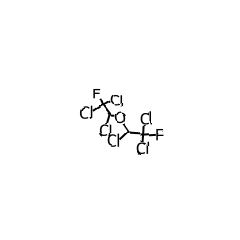 FC(Cl)(Cl)C(Cl)OC(Cl)C(F)(Cl)Cl